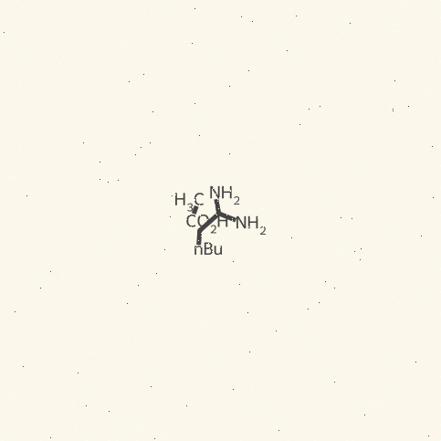 CC(=O)O.CCCCCC(N)N